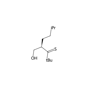 CC(C)CC[C@H](CO)C(=S)C(C)(C)C